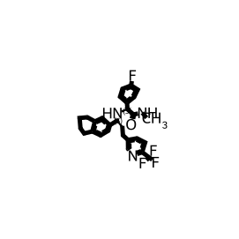 CNC(=O)[C@@H](N[C@@H](CCc1ccc(C(F)(F)F)nc1)c1ccc2c(c1)CCCC2)c1ccc(F)cc1